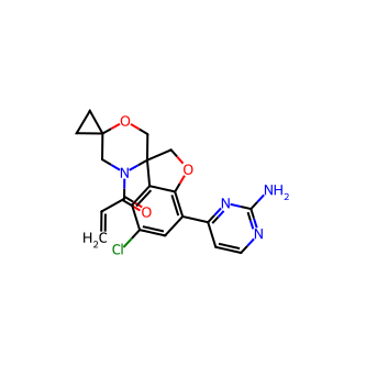 C=CC(=O)N1CC2(CC2)OCC12COc1c(-c3ccnc(N)n3)cc(Cl)cc12